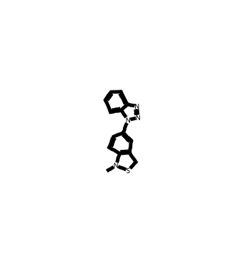 CN1SCc2cc(-n3nnc4ccccc43)ccc21